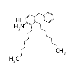 CCCCCCCCc1c(N)ccc(Cc2ccccc2)c1CCCCCCCC.I